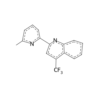 Cc1cccc(-c2cc(C(F)(F)F)c3ccccc3n2)n1